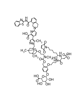 Cc1c(-c2ccc(N3CCc4cccc(C(=O)Nc5nc6ccccc6s5)c4C3)nc2C(=O)O)cnn1CC12CC3(C)CC(C)(C1)CC(OCCN(C)C(=O)OCc1ccc(O[C@@H]4O[C@H](C(=O)O)[C@@H](O)[C@H](O)[C@H]4O)cc1OCCCNC(=O)[C@H](CS(=O)(=O)O)NC(O)CCCCCN1C(=O)C=CC1=O)(C3)C2